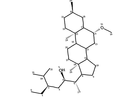 CC[C@H](C[C@@H](O)[C@@H](C)C1CCC2C3C[C@@H](OC)C4C[C@H](C)CC[C@]4(C)C3CC[C@@]21C)C(C)C